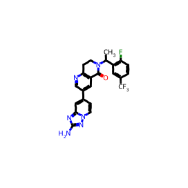 CC(c1cc(C(F)(F)F)ccc1F)N1CCc2ncc(-c3ccn4nc(N)nc4c3)cc2C1=O